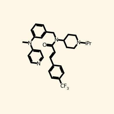 CC(C)N1CCC(N(Cc2cccc(N(C)c3ccncc3)c2)C(=O)/C=C/c2ccc(C(F)(F)F)cc2)CC1